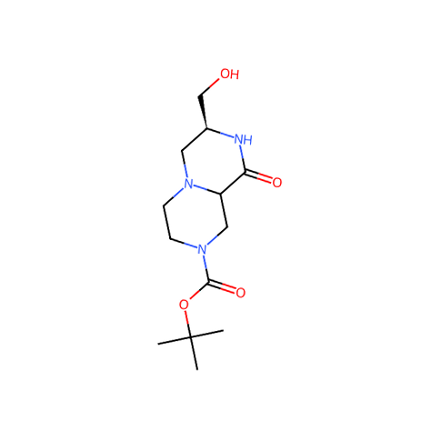 CC(C)(C)OC(=O)N1CCN2C[C@@H](CO)NC(=O)C2C1